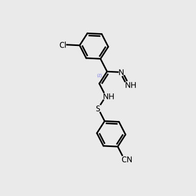 N#Cc1ccc(SN/C=C(\N=N)c2cccc(Cl)c2)cc1